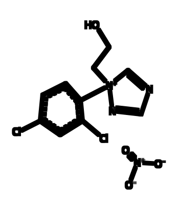 O=[N+]([O-])[O-].OCC[N+]1(c2ccc(Cl)cc2Cl)C=NC=N1